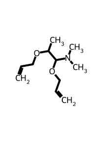 C=CCOC(C)C(OCC=C)N(C)C